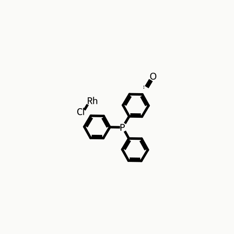 [C]=O.[Cl][Rh].c1ccc(P(c2ccccc2)c2ccccc2)cc1